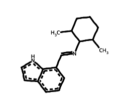 CC1CCCC(C)C1/N=C/c1cccc2cc[nH]c12